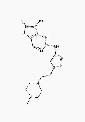 Cc1sc2cnc(Nc3cnn(CCN4CCN(C)CC4)c3)nc2c1Br